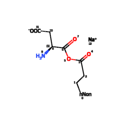 CCCCCCCCCCCC(=O)OC(=O)[C@@H](N)CC(=O)[O-].[Na+]